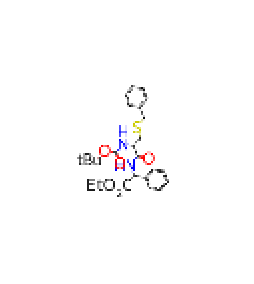 CCOC(=O)[C@H](NC(=O)[C@H](CSCc1ccccc1)NC(=O)OC(C)(C)C)c1ccccc1